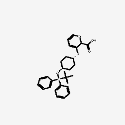 CC(C)(C)[Si](O[C@H]1CC[C@H](OC2=CC=COC2C(=O)O)CC1)(c1ccccc1)c1ccccc1